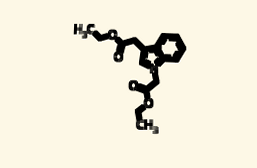 CCOC(=O)Cc1cn(CC(=O)OCC)c2ccccc12